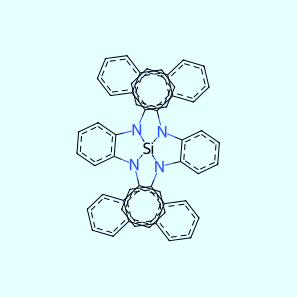 c1ccc2c(c1)N(c1cccc3ccccc13)[Si]1(N2c2cccc3ccccc23)N(c2cccc3ccccc23)c2ccccc2N1c1cccc2ccccc12